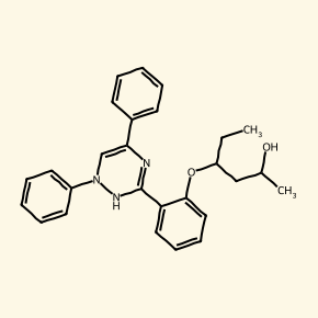 CCC(CC(C)O)Oc1ccccc1C1=NC(c2ccccc2)=CN(c2ccccc2)N1